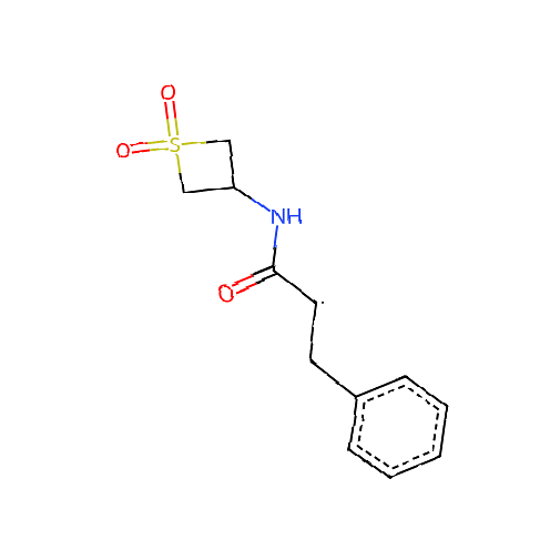 O=C([CH]Cc1ccccc1)NC1CS(=O)(=O)C1